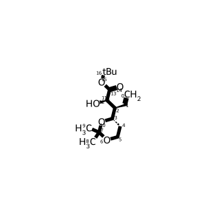 C=C[C@@H]([C@@H]1CCOC(C)(C)O1)[C@@H](O)C(=O)OC(C)(C)C